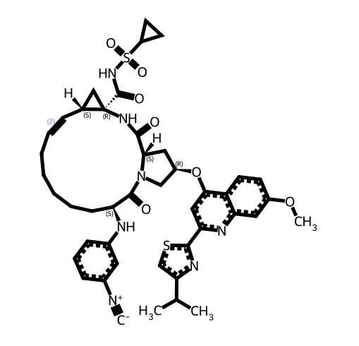 [C-]#[N+]c1cccc(N[C@H]2CCCCC/C=C\[C@@H]3C[C@@]3(C(=O)NS(=O)(=O)C3CC3)NC(=O)[C@@H]3C[C@@H](Oc4cc(-c5nc(C(C)C)cs5)nc5cc(OC)ccc45)CN3C2=O)c1